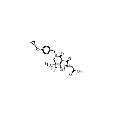 CC1(C)CN(Cc2ccc(OC3CC3)cc2)C(=O)C(C(=O)NCC(=O)O)=C1O